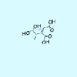 CC(/C(=C/C(=O)O)C(=O)O)C(O)O